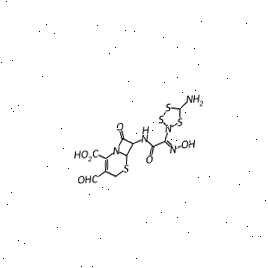 NC1SSN(C(=NO)C(=O)NC2C(=O)N3C(C(=O)O)=C(C=O)CSC23)S1